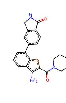 Nc1c(C(=O)N2CCCCC2)sc2c(-c3ccc4c(c3)CNC4=O)cccc12